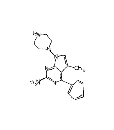 Cc1cn(N2CCNCC2)c2nc(N)nc(-c3ccccc3)c12